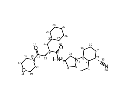 CCC1C(N2CCC(NC(=O)[C@@H](CC(=O)N3CCOCC3)CC3CCCCC3)C2)CCC[C@@H]1C#N